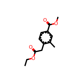 CCOC(=O)Cc1ccc(C(=O)OC)cc1C